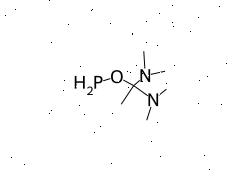 CN(C)C(C)(OP)N(C)C